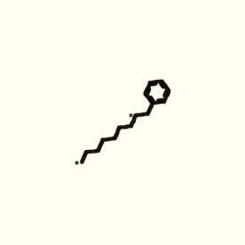 [CH2]CCCCCC[CH]Cc1ccccc1